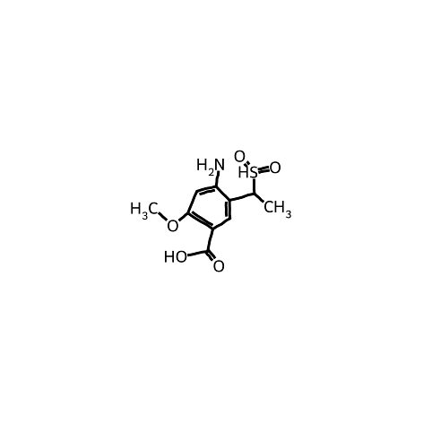 COc1cc(N)c(C(C)[SH](=O)=O)cc1C(=O)O